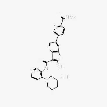 CNC(=O)c1ccc(-c2cnc3c(C(=O)Nc4cnccc4N4C[C@@H](C)C[C@@H](N)C4)c(N)oc3c2)cn1